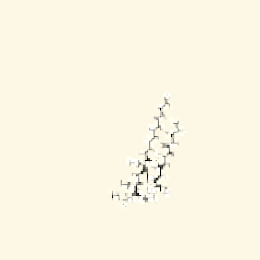 CCCCCCCCCCCC(=O)NCCCNC(=N)N.CCCCCCCCCCCC(=O)O